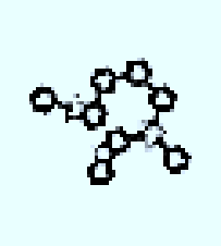 c1ccc(-c2nc(-c3cccc(-c4cccc(-c5cccc(-c6cccc7nc(-c8ccccc8)oc67)c5)c4)c3)nc(-c3ccc4sc5ccccc5c4c3)n2)cc1